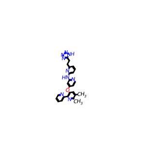 Cc1cc(Oc2ccnc(Nc3cccc(CCc4nnn[nH]4)n3)c2)c(-c2ccccn2)nc1C